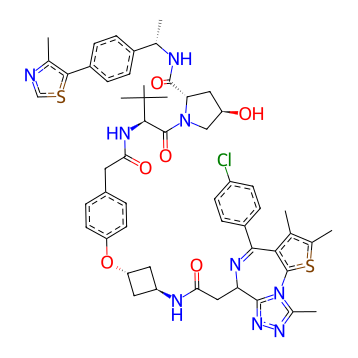 Cc1ncsc1-c1ccc([C@H](C)NC(=O)[C@@H]2C[C@@H](O)CN2C(=O)[C@@H](NC(=O)Cc2ccc(O[C@H]3C[C@H](NC(=O)CC4N=C(c5ccc(Cl)cc5)c5c(sc(C)c5C)-n5c(C)nnc54)C3)cc2)C(C)(C)C)cc1